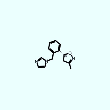 CC1=NO[C@@H](c2ccccc2Cn2ccnc2)C1